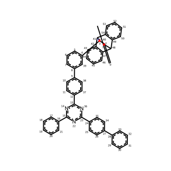 C=C1C/C(c2cccc(-c3ccc(-c4nc(-c5ccccc5)nc(-c5ccc(-c6ccccc6)cc5)n4)cc3)c2)=C\C2c3ccccc3C1c1ccccc12